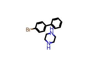 Brc1ccc(-c2ccccc2)cc1.C1CNCCN1